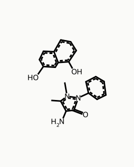 Cc1c(N)c(=O)n(-c2ccccc2)n1C.Oc1ccc2cccc(O)c2c1